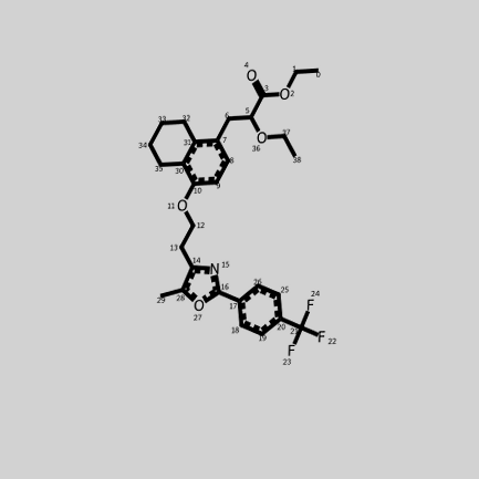 CCOC(=O)C(Cc1ccc(OCCc2nc(-c3ccc(C(F)(F)F)cc3)oc2C)c2c1CCCC2)OCC